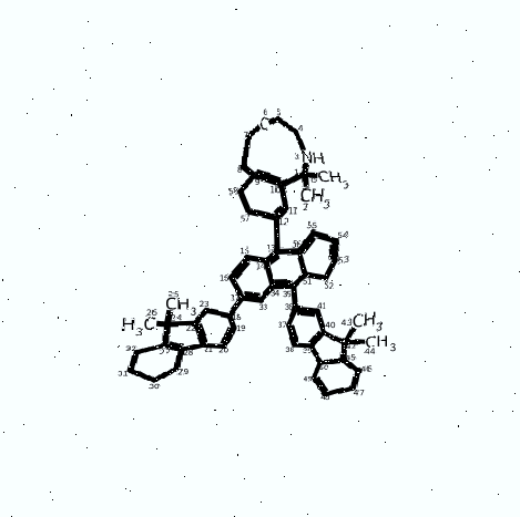 CC1(C)NCCCCCC2=C1C=C(C1=c3ccc(C4C=CC5=C(C4)C(C)(C)C4=C5CCCC4)cc3=C(c3ccc4c(c3)C(C)(C)C3CCC=CC43)C3CC=CC=C13)CC2